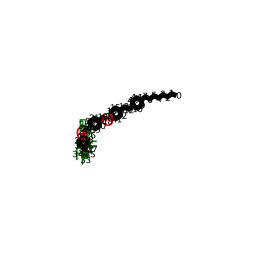 CCCCCCCCC1CCC(/C=C/C2CCC(OCC3CCC(C(F)(F)Oc4ccc(C(F)(F)F)c(F)c4)CC3)CC2)CC1